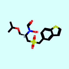 CC(C)OC[C@@H](CS(=O)(=O)Cc1ccc2sccc2c1)N(O)C=O